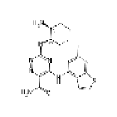 Cc1cc(Nc2nc(N[C@@H]3CCCC[C@@H]3N)nnc2C(N)=O)c2ccsc2c1